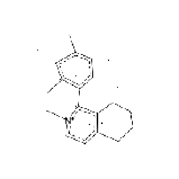 Cc1ccc(-c2c3c(cc[n+]2C)CCCC3)c(C)c1